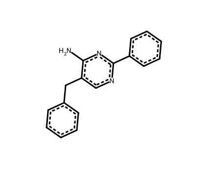 Nc1nc(-c2ccccc2)ncc1Cc1ccccc1